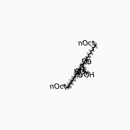 CCCCCCCC/C=C\CCCCCCCC(=O)OCCN(CCOC(=O)CCCCCCC/C=C\CCCCCCCC)CC(O)CO